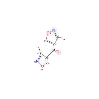 Cc1nocc1C(=O)c1conc1C